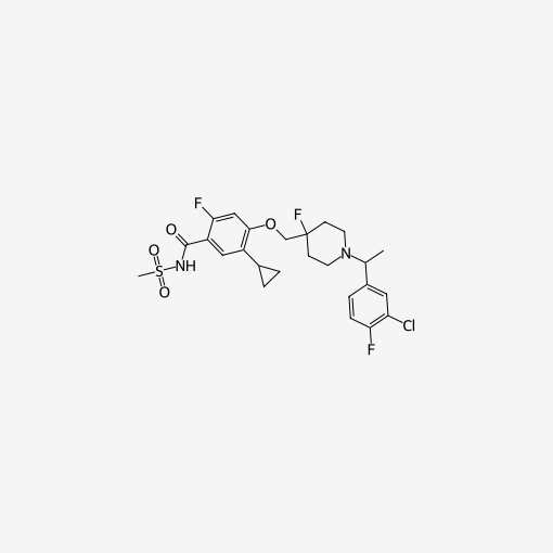 CC(c1ccc(F)c(Cl)c1)N1CCC(F)(COc2cc(F)c(C(=O)NS(C)(=O)=O)cc2C2CC2)CC1